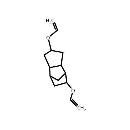 C=COC1CC2C3CC(OC=C)C(C3)C2C1